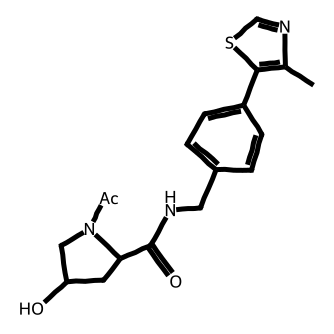 CC(=O)N1CC(O)CC1C(=O)NCc1ccc(-c2scnc2C)cc1